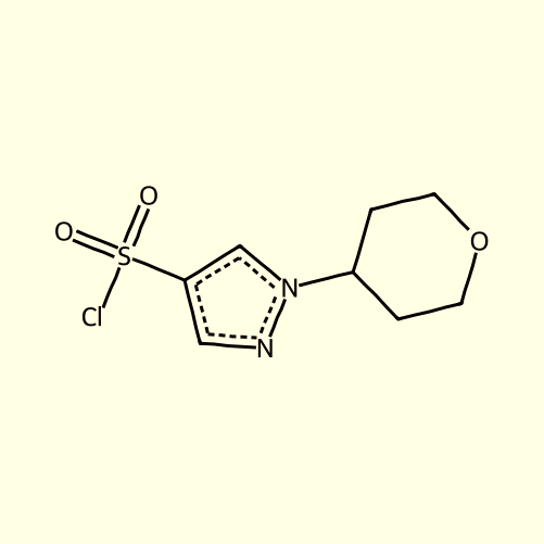 O=S(=O)(Cl)c1cnn(C2CCOCC2)c1